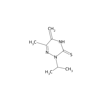 C=C1NC(=S)N(C(C)C)N=C1C